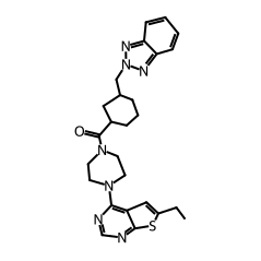 CCc1cc2c(N3CCN(C(=O)C4CCCC(Cn5nc6ccccc6n5)C4)CC3)ncnc2s1